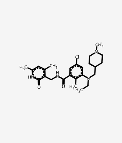 CCN(CC1CCN(C)CC1)c1cc(Cl)cc(C(=O)NCc2c(C)cc(C)[nH]c2=O)c1C